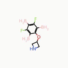 Bc1c(F)c(B)c(OC2CNC2)c(B)c1F